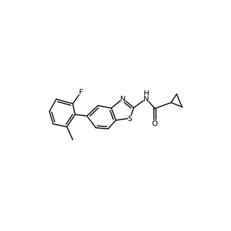 Cc1cccc(F)c1-c1ccc2sc(NC(=O)C3CC3)nc2c1